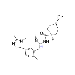 C=N/C(=C\c1cc(-c2cnc(C)n2C)ccc1C)NC(=O)C1(F)CCN(C2CC2)CC1